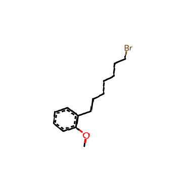 COc1ccccc1CCCCCCCBr